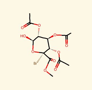 COC(=O)[C@@]1(Br)O[C@@H](O)[C@H](OC(C)=O)[C@@H](OC(C)=O)[C@@H]1OC(C)=O